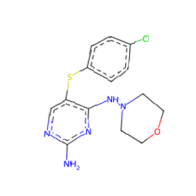 Nc1ncc(Sc2ccc(Cl)cc2)c(NN2CCOCC2)n1